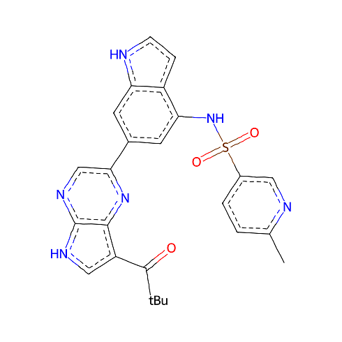 Cc1ccc(S(=O)(=O)Nc2cc(-c3cnc4[nH]cc(C(=O)C(C)(C)C)c4n3)cc3[nH]ccc23)cn1